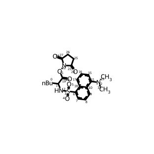 CCCCC(NS(=O)(=O)c1cccc2c(N(C)C)cccc12)C(=O)ON1C(=O)CCC1=O